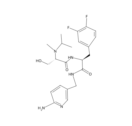 CC(C)N(C)[C@@H](CO)C(=O)N[C@@H](Cc1ccc(F)c(F)c1)C(=O)NCc1ccc(N)nc1